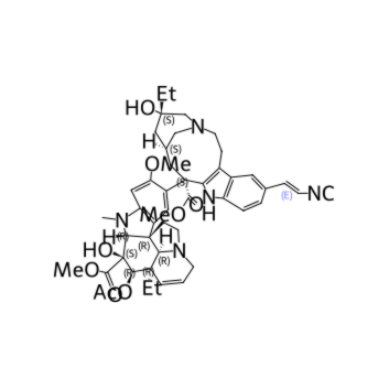 [C-]#[N+]/C=C/c1ccc2[nH]c3c(c2c1)CCN1C[C@H](C[C@@](O)(CC)C1)C[C@]3(C(=O)OC)c1cc2c(cc1OC)N(C)[C@H]1[C@@](O)(C(=O)OC)[C@H](OC(C)=O)[C@]3(CC)C=CCN4CC[C@]21[C@@H]43